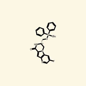 CC(C)(C)[Si](OC[C@@H]1Cn2c(cc3ncc(F)cc32)C(=O)N1)(c1ccccc1)c1ccccc1